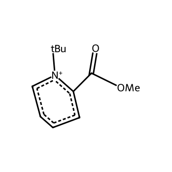 COC(=O)c1cccc[n+]1C(C)(C)C